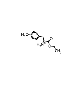 CCOC(=O)[C@@H](N)Cc1ccc(C)cc1